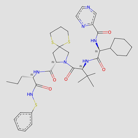 CCC[C@H](NC(=O)[C@@H]1CC2(CN1C(=O)[C@@H](NC(=O)[C@@H](NC(=O)c1cnccn1)C1CCCCC1)C(C)(C)C)SCCCS2)C(=O)NSc1ccccc1